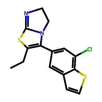 CCC1=C(c2cc(Cl)c3sccc3c2)N2CCN=C2S1